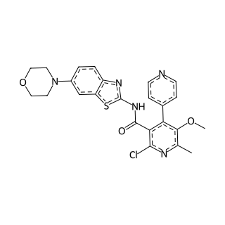 COc1c(C)nc(Cl)c(C(=O)Nc2nc3ccc(N4CCOCC4)cc3s2)c1-c1ccncc1